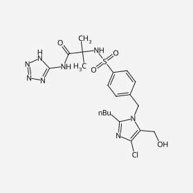 CCCCc1nc(Cl)c(CO)n1Cc1ccc(S(=O)(=O)NC(C)(C)C(=O)Nc2nnn[nH]2)cc1